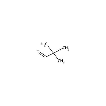 CC(C)(C)P=O